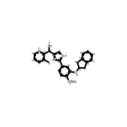 COc1ccc(-c2nc(C(C(C)=O)c3ncccc3C)co2)cc1OC1Cc2ccccc2C1